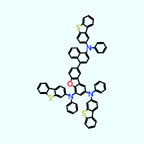 c1ccc(N(c2ccc3c(c2)sc2ccccc23)c2cc(N(c3ccccc3)c3ccc4c(c3)sc3ccccc34)c3oc4ccc(-c5ccc(N(c6ccccc6)c6ccc7sc8ccccc8c7c6)c6ccccc56)cc4c3c2)cc1